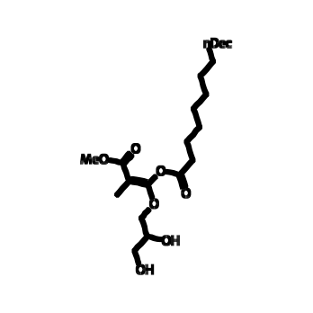 CCCCCCCCCCCCCCCCCC(=O)OC(OCC(O)CO)=C(C)C(=O)OC